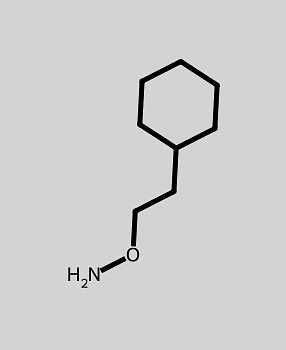 NOCCC1CCCCC1